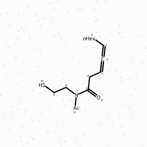 CCCCCCC=C=CCC(=O)N(CCS)C(C)=O